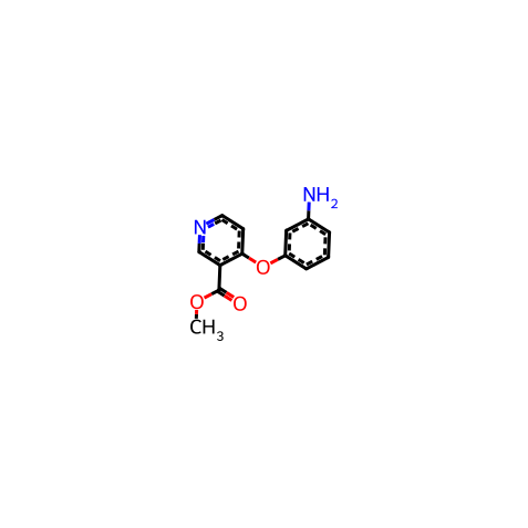 COC(=O)c1cnccc1Oc1cccc(N)c1